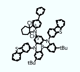 CC(C)(C)c1ccc2c(c1)N(c1ccc3c(c1)sc1ccccc13)c1cc(N3c4ccc(-c5ccccc5)cc4C4(C)CCCCC34C)cc3c1B2c1ccc(C(C)(C)C)cc1N3c1ccc2sc3ccccc3c2c1